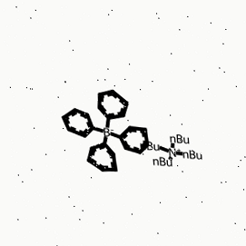 CCCC[N+](CCCC)(CCCC)CCCC.c1ccc([B-](c2ccccc2)(c2ccccc2)c2ccccc2)cc1